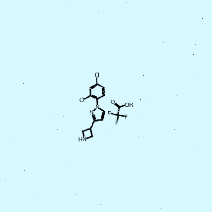 Clc1ccc(-n2ccc(C3CNC3)n2)c(Cl)c1.O=C(O)C(F)(F)F